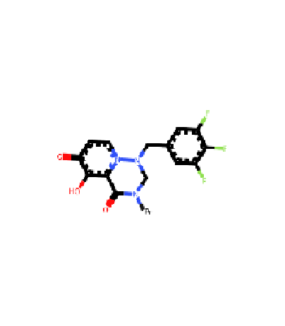 CC(C)N1CN(Cc2cc(F)c(F)c(F)c2)n2ccc(=O)c(O)c2C1=O